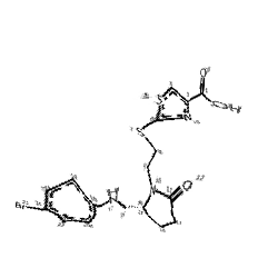 O=C(O)c1csc(SCCN2C(=O)CC[C@@H]2CNc2ccc(Br)cc2)n1